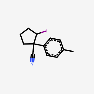 Cc1ccc(C2(C#N)CCCC2I)cc1